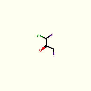 O=C(CI)C(Br)I